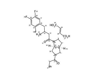 CC(C)CC(=O)N1C[C@@H]2CCN(C(=O)CC(N)Cc3cc(F)c(F)cc3F)[C@@H]2C1.O=C(O)C=CC(=O)O